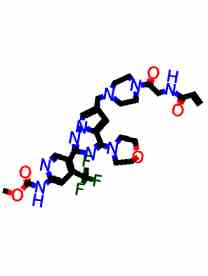 C=CC(=O)NCC(=O)N1CCN(Cc2cc3c(N4CCOCC4)nc(-c4cnc(NC(=O)OC)cc4C(F)(F)F)nn3c2)CC1